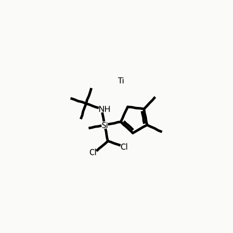 CC1=C(C)CC([Si](C)(NC(C)(C)C)C(Cl)Cl)=C1.[Ti]